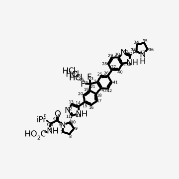 CC(C)[C@H](NC(=O)O)C(=O)N1CCC[C@H]1c1ncc(-c2ccc3c(c2)C(F)(F)c2cc(-c4ccc5nc([C@@H]6CCCN6)[nH]c5c4)ccc2-3)[nH]1.Cl.Cl.Cl